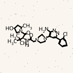 C[C@@H]1C[C@@H](O)CN1C(=O)[C@@H](NC(=O)CN1CCN(c2cc(-c3ccccc3Cl)nnc2N)CC1)C(C)(C)C